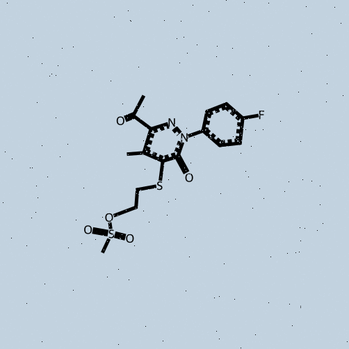 CC(=O)c1nn(-c2ccc(F)cc2)c(=O)c(SCCOS(C)(=O)=O)c1C